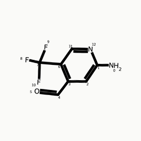 Nc1cc(C=O)c(C(F)(F)F)cn1